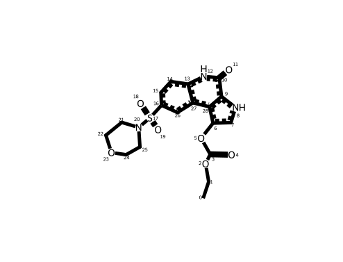 CCOC(=O)Oc1c[nH]c2c(=O)[nH]c3ccc(S(=O)(=O)N4CCOCC4)cc3c12